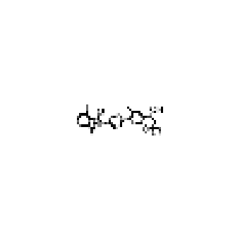 Cc1cc2c(cc1-c1ccc(NC(=O)c3c(F)cccc3F)cc1)OC1(CCC1)CC2O